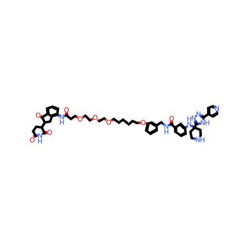 O=C1CCC(C2Cc3c(NC(=O)CCOCCOCCOCCCCCCOc4cccc(CNC(=O)c5cccc(NC6(c7nnc(-c8ccncc8)[nH]7)CCNCC6)c5)c4)cccc3C2=O)C(=O)N1